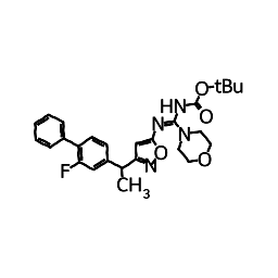 CC(c1ccc(-c2ccccc2)c(F)c1)c1cc(/N=C(/NC(=O)OC(C)(C)C)N2CCOCC2)on1